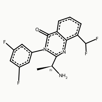 C[C@H](N)c1nc2c(C(F)F)cccc2c(=O)n1-c1cc(F)cc(F)c1